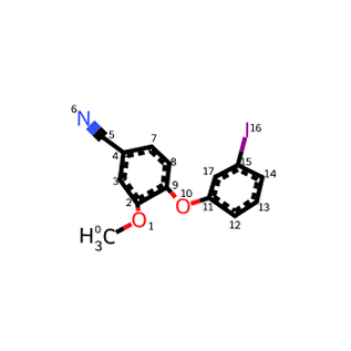 COc1cc(C#N)ccc1Oc1cccc(I)c1